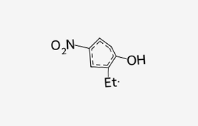 C[CH]c1cc([N+](=O)[O-])ccc1O